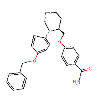 NC(=O)c1ccc(OC[C@@H]2CCCC[C@H]2c2ccc(OCc3ccccc3)cc2)cc1